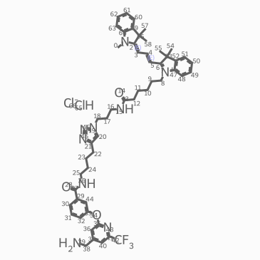 CN1/C(=C/C=C/C2=[N+](CCCCCC(=O)NCCCn3cc(CCCCNC(=O)c4cccc(Oc5cc(CN)cc(C(F)(F)F)n5)c4)nn3)c3ccccc3C2(C)C)C(C)(C)c2ccccc21.Cl.[Cl-]